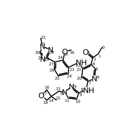 CCC(=O)c1cnc(Nc2ccn(CC3(C)COC3)n2)cc1Nc1cccc(-c2ncn(C)n2)c1OC